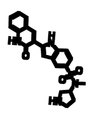 CN(C1CCNC1)S(=O)(=O)c1ccc2[nH]c(-c3cc4ccccc4[nH]c3=O)cc2c1